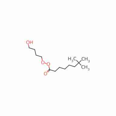 CC(C)(C)CCCCCC(=O)OOCCCCO